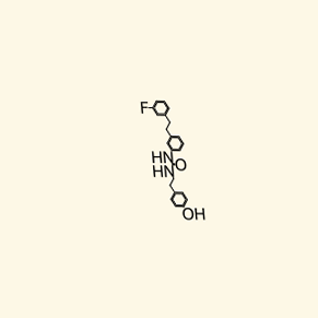 O=C(NCCc1ccc(O)cc1)Nc1cccc(CCc2cccc(F)c2)c1